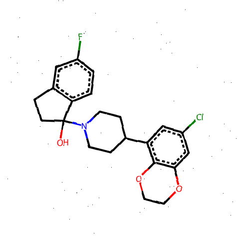 OC1(N2CCC(c3cc(Cl)cc4c3OCCO4)CC2)CCc2cc(F)ccc21